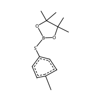 Cc1[c]cc(SB2OC(C)(C)C(C)(C)O2)cc1